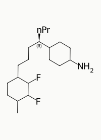 CCC[C@H](CCCC1CCC(C)C(F)C1F)C1CCC(N)CC1